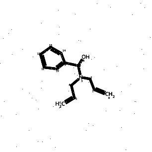 C=CCN(CC=C)C(O)c1ccccc1